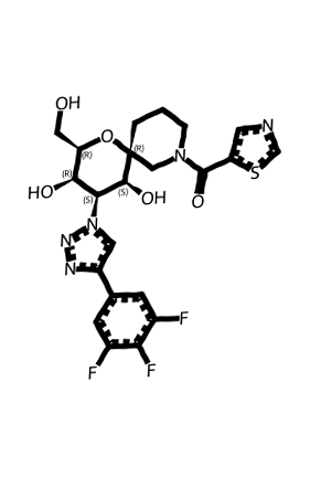 O=C(c1cncs1)N1CCC[C@]2(C1)O[C@H](CO)[C@H](O)[C@H](n1cc(-c3cc(F)c(F)c(F)c3)nn1)[C@@H]2O